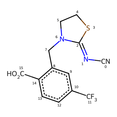 N#C/N=C1\SCCN1Cc1cc(C(F)(F)F)ccc1C(=O)O